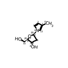 Cc1ccn([C@H]2C[C@@H](O)[C@@H](CO)O2)c1